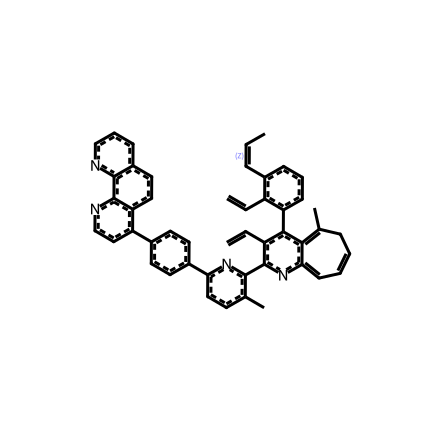 C=Cc1c(/C=C\C)cccc1-c1c(C=C)c(-c2nc(-c3ccc(-c4ccnc5c4ccc4cccnc45)cc3)ccc2C)nc2c1=C(C)CC=CC=2